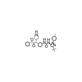 CO[C@@H](C(=O)C(c1cccc(NC(=O)Nc2cc(C(C)(C)C)nn2-c2ccc(C)cc2)c1)C1CCNCC1)c1ccccc1